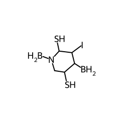 BC1C(S)CN(B)C(S)C1I